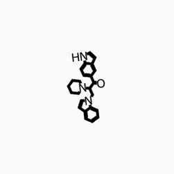 O=C(c1ccc2[nH]ccc2c1)C(Cn1ccc2ccccc21)N1CCCCC1